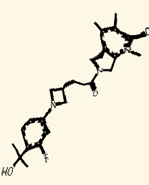 Cc1c2c(n(C)c(=O)c1C)CN(C(=O)CC1CN(c3ccc(C(C)(C)O)c(F)c3)C1)C2